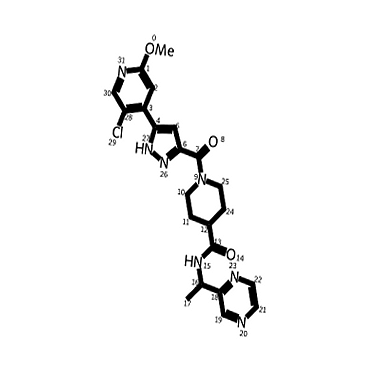 COc1cc(-c2cc(C(=O)N3CCC(C(=O)NC(C)c4cnccn4)CC3)n[nH]2)c(Cl)cn1